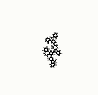 Cc1ccccc1-c1cc(C2=CCc3c(n(-c4cc(-c5ccc6c(c5)C(C)(C)c5ccccc5-6)c5c(c4)-c4ccccc4CCS5)c4ccccc34)C=C2)ccc1N(C)c1ccccc1